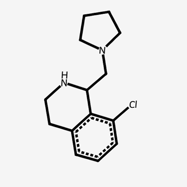 Clc1cccc2c1C(CN1CCCC1)NCC2